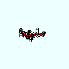 O=C(COC1CC(COC(F)(F)F)C1)NC12CC(c3nnc(C4CC(OC(F)(F)F)C4C4C(COC(F)(F)F)C4c4nnc(C56CC(NC(=O)COC7CC(OC(F)(F)F)C7)(C5)C6)o4)o3)(C1)C2